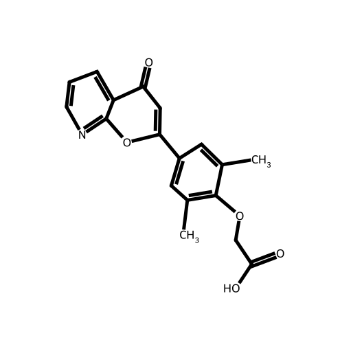 Cc1cc(-c2cc(=O)c3cccnc3o2)cc(C)c1OCC(=O)O